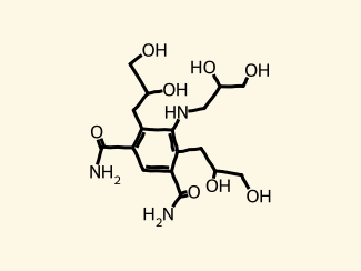 NC(=O)c1cc(C(N)=O)c(CC(O)CO)c(NCC(O)CO)c1CC(O)CO